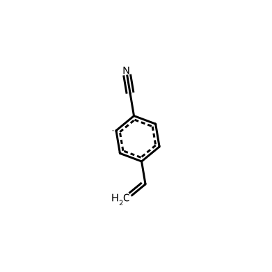 C=Cc1c[c]c(C#N)cc1